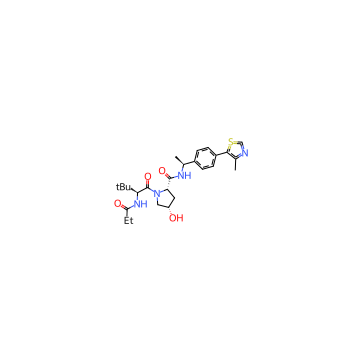 CCC(=O)N[C@H](C(=O)N1C[C@@H](O)C[C@H]1C(=O)N[C@@H](C)c1ccc(-c2scnc2C)cc1)C(C)(C)C